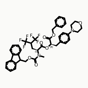 CN(C(=O)OCC1c2ccccc2-c2ccccc21)[C@@H](CC(C(F)(F)F)C(F)(F)F)C(=O)O[C@H](Cc1ccc(N2CCOCC2)cc1)C(=O)OCc1ccccc1